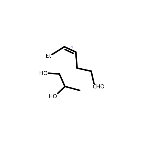 CC(O)CO.CC/C=C\CCC=O